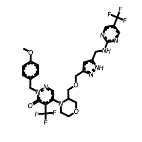 COc1ccc(Cn2ncc(N3CCOCC3COCc3cc(CNc4ncc(C(F)(F)F)cn4)[nH]n3)c(C(F)(F)F)c2=O)cc1